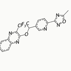 Cc1nc(-c2ccc(C(Oc3nc4ccccc4nc3Cl)C(F)(F)F)cn2)no1